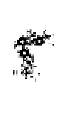 CC(C)c1cccc(S(=O)(=O)Nc2ccc(F)c(-c3ccc4nc(NC(=O)C(C)(C)C)ncc4c3)c2F)c1